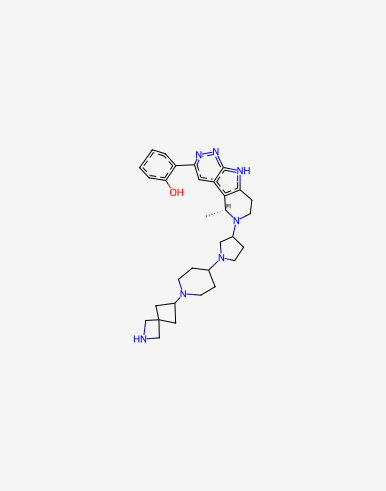 C[C@@H]1c2c([nH]c3nnc(-c4ccccc4O)cc23)CCN1C1CCN(C2CCN(C3CC4(CNC4)C3)CC2)C1